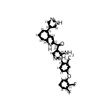 Cc1cc(Oc2cccc(F)c2F)ccc1-n1ncc(C(=O)c2cc3c(-c4cn[nH]c4)cccc3[nH]2)c1N